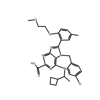 COCCOc1ccc(C)cc1-c1nc2nc(C(=O)O)nc(NC(C)C3CCC3)c2n1Cc1ccc(Cl)cc1